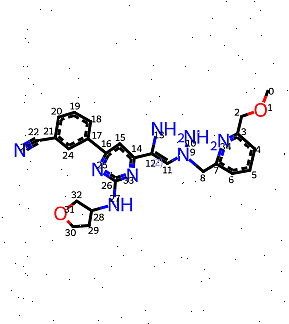 COCc1cccc(CN(N)/C=C(\N)c2cc(-c3cccc(C#N)c3)nc(NC3CCOC3)n2)n1